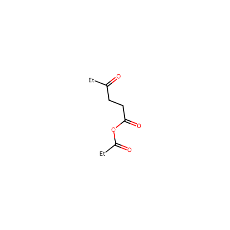 CCC(=O)CCC(=O)OC(=O)CC